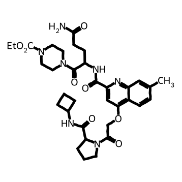 CCOC(=O)N1CCN(C(=O)C(CCC(N)=O)NC(=O)c2cc(OCC(=O)N3CCCC3C(=O)NC3CCC3)c3ccc(C)cc3n2)CC1